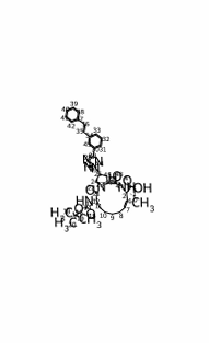 CC[C@]1(C(=O)O)/C=C\CCCC[C@H](NC(=O)OC(C)(C)C)C(=O)N2C[C@H](n3nnc(-c4cccc(/C=C/c5ccccc5)c4)n3)C[C@H]2C(=O)N1